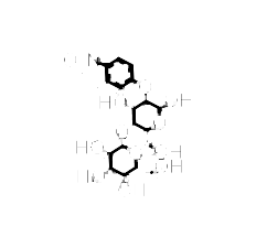 O=[N+]([O-])c1ccc(O[C@@H]2[C@@H](O)[C@@H](O[C@@H]3O[C@H](CO)[C@H](O)[C@H](O)[C@H]3O)[C@@H](CO)O[C@H]2O)cc1